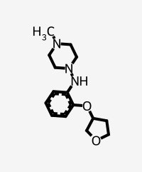 CN1CCN(Nc2ccccc2OC2CCOC2)CC1